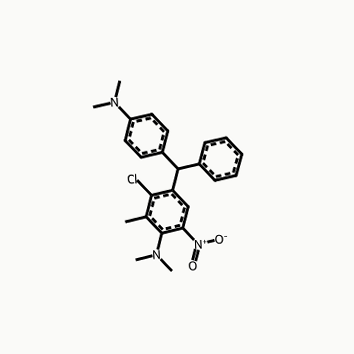 Cc1c(Cl)c(C(c2ccccc2)c2ccc(N(C)C)cc2)cc([N+](=O)[O-])c1N(C)C